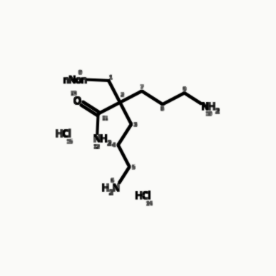 CCCCCCCCCCC(CCCN)(CCCN)C(N)=O.Cl.Cl